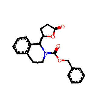 O=C1CCC(C2c3ccccc3CCN2C(=O)OCc2ccccc2)O1